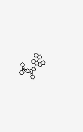 c1ccc(-n2c3ccccc3c3cc4c(cc32)c2cc(-c3c5ccccc5c(-c5cccc6ccccc56)c5c3ccc3ccccc35)ccc2n4-c2ccccc2)cc1